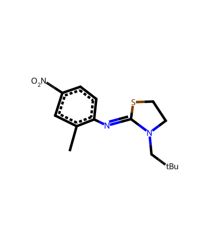 Cc1cc([N+](=O)[O-])ccc1N=C1SCCN1CC(C)(C)C